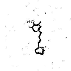 Cc1cc(C=CC=Cc2ccccn2)cc(C)c1O